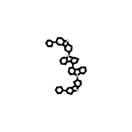 c1ccc(-c2ccc3oc4ccc(-n5c6ccccc6c6c(-c7cccc8c7c7ccccc7n8-c7ccc8oc9ccc(-c%10ccccc%10)cc9c8c7)cccc65)cc4c3c2)cc1